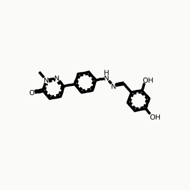 Cn1nc(-c2ccc(NN=Cc3ccc(O)cc3O)cc2)ccc1=O